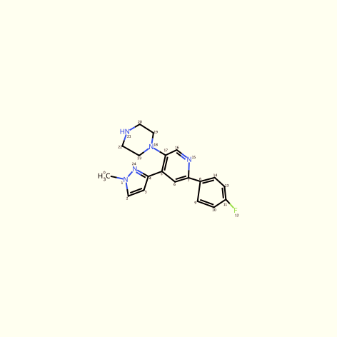 Cn1ccc(-c2cc(-c3ccc(F)cc3)ncc2N2CCNCC2)n1